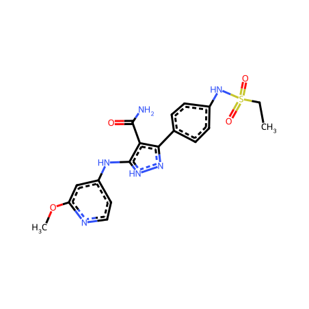 CCS(=O)(=O)Nc1ccc(-c2n[nH]c(Nc3ccnc(OC)c3)c2C(N)=O)cc1